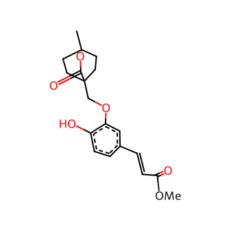 COC(=O)C=Cc1ccc(O)c(OCC23CCC(C)(CC2)OC3=O)c1